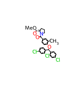 COC(=O)[C@@H]1CCCN1C(=O)c1ccc(OC(c2ccc(Cl)cc2)c2ccc(Cl)cc2Cl)c(C)c1